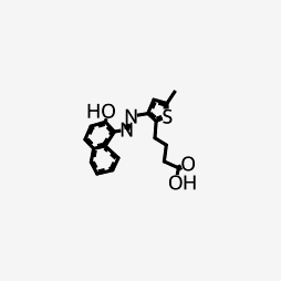 Cc1cc(/N=N/c2c(O)ccc3ccccc23)c(CCCC(=O)O)s1